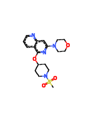 CS(=O)(=O)N1CCC(Oc2nc(N3CCOCC3)cc3ncccc23)CC1